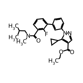 CCOC(=O)c1cnn(-c2cccc(-c3cccc(C(=O)N(C)CC(C)C)c3F)c2)c1C1CC1